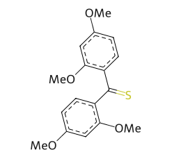 COc1ccc(C(=S)c2ccc(OC)cc2OC)c(OC)c1